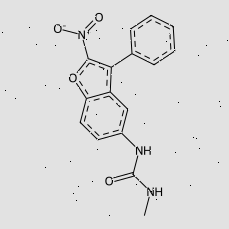 CNC(=O)Nc1ccc2oc([N+](=O)[O-])c(-c3ccccc3)c2c1